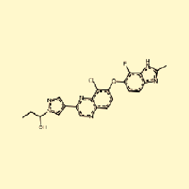 CCC(O)n1cc(-c2cnc3ccc(Oc4ccc5nc(C)[nH]c5c4F)c(Cl)c3n2)cn1